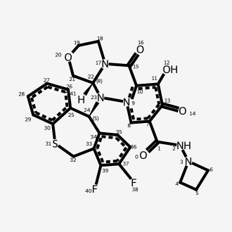 O=C(NN1CCC1)c1cn2c(c(O)c1=O)C(=O)N1CCOC[C@H]1N2[C@@H]1c2ccccc2SCc2c1ccc(F)c2F